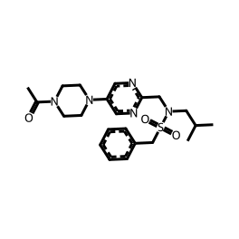 CC(=O)N1CCN(c2cnc(CN(CC(C)C)S(=O)(=O)Cc3ccccc3)nc2)CC1